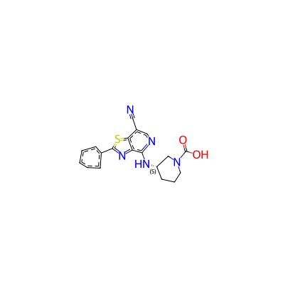 N#Cc1cnc(N[C@H]2CCCN(C(=O)O)C2)c2nc(-c3ccccc3)sc12